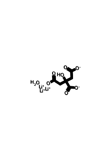 O.O=C([O-])CC(O)(CC(=O)[O-])C(=O)[O-].[Li+].[Li+].[Li+]